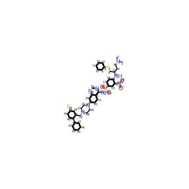 CN(C)CCC(CSc1ccccc1)Nc1ccc(S(=O)(=O)Nc2ncnc3cc(N4CCN(Cc5cc(F)ccc5-c5ccccc5)CC4)ccc23)cc1[N+](=O)[O-]